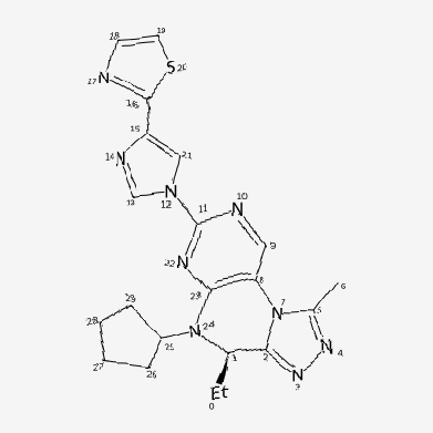 CC[C@@H]1c2nnc(C)n2-c2cnc(-n3cnc(-c4nccs4)c3)nc2N1C1CCCC1